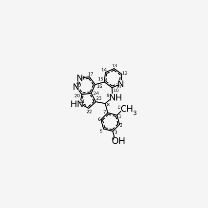 Cc1cc(O)ccc1C1Nc2ncccc2-c2cnnc3[nH]cc1c23